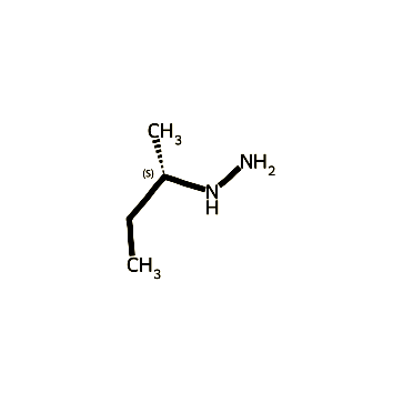 CC[C@H](C)NN